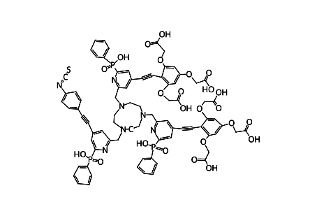 O=C(O)COc1cc(OCC(=O)O)c(C#Cc2cc(CN3CCN(Cc4cc(C#Cc5ccc(N=C=S)cc5)cc(P(=O)(O)c5ccccc5)n4)CCN(Cc4cc(C#Cc5c(OCC(=O)O)cc(OCC(=O)O)cc5OCC(=O)O)cc(P(=O)(O)c5ccccc5)n4)CC3)nc(P(=O)(O)c3ccccc3)c2)c(OCC(=O)O)c1